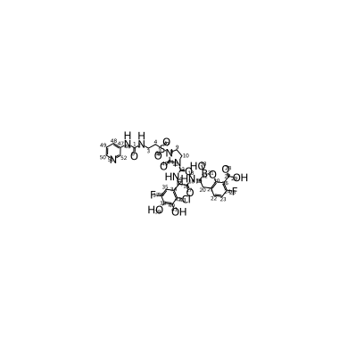 O=C(NCCS(=O)(=O)N1CCN(C(=O)N[C@@H](C(=O)N[C@H]2Cc3ccc(F)c(C(=O)O)c3OB2O)c2cc(F)c(O)c(O)c2Cl)C1=O)Nc1cccnc1